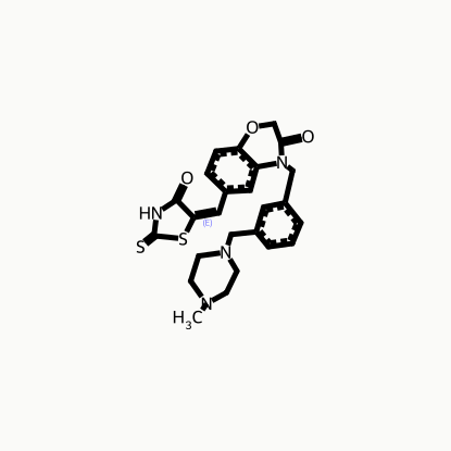 CN1CCN(Cc2cccc(CN3C(=O)COc4ccc(/C=C5/SC(=S)NC5=O)cc43)c2)CC1